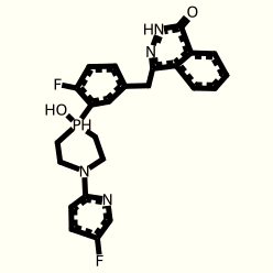 O=c1[nH]nc(Cc2ccc(F)c([PH]3(O)CCN(c4ccc(F)cn4)CC3)c2)c2ccccc12